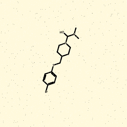 CN(C)C(O)N1CCC(CSc2ccc(Br)cc2)CC1